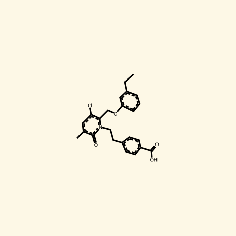 CCc1cccc(OCc2c(Cl)cc(C)c(=O)n2CCc2ccc(C(=O)O)cc2)c1